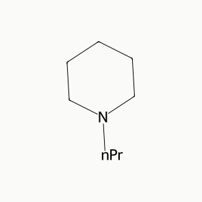 C[CH]CN1CCCCC1